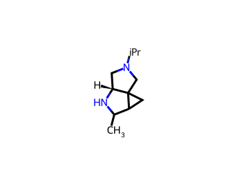 CC1N[C@@H]2CN(C(C)C)CC23CC13